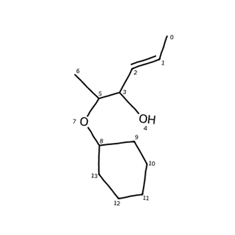 CC=CC(O)C(C)OC1CCCCC1